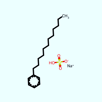 CCCCCCCCCCCCc1ccccc1.O=S(=O)([O-])O.[Na+]